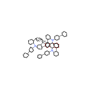 CC12c3ccc(cc3)-c3ccccc3N(c3ccc(-c4ccccc4)cc3)c3ccc(c1c3)-c1cc3c(N(c4ccc(-c5ccccc5)cc4)c4ccccc4-c4ccccc4)c4ccccc4c(N(c4ccc(-c5ccccc5)cc4)c4ccccc4-c4ccccc4)c3cc12